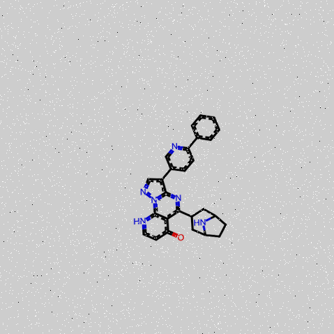 O=c1cc[nH]c2c1c(C1CC3CCC(C1)N3)nc1c(-c3ccc(-c4ccccc4)nc3)cnn12